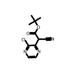 CC(C)(C)OC(=O)C(C#N)c1nccnc1Cl